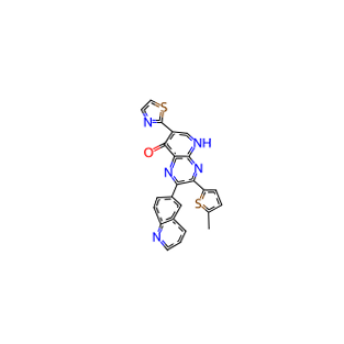 Cc1ccc(-c2nc3[nH]cc(-c4nccs4)c(=O)c3nc2-c2ccc3ncccc3c2)s1